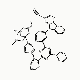 CC[C@@H]1C[C@@H]2C[C@H](C)CC(c3ccc(-c4ccccc4-c4nc(-c5ccccc5)nc(-c5cccc(-n6c7ccccc7c7ccc(C#N)cc76)c5)n4)cc3)(C1)C2